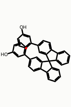 Oc1cccc(-c2ccc3c(c2)C2(c4ccccc4-3)c3ccccc3-c3ccc(-c4cccc(O)c4)cc32)c1